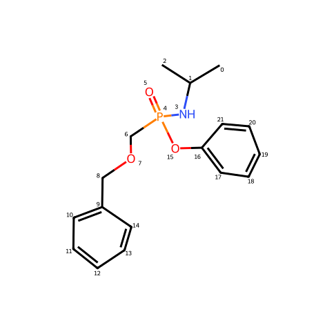 CC(C)NP(=O)(COCc1ccccc1)Oc1ccccc1